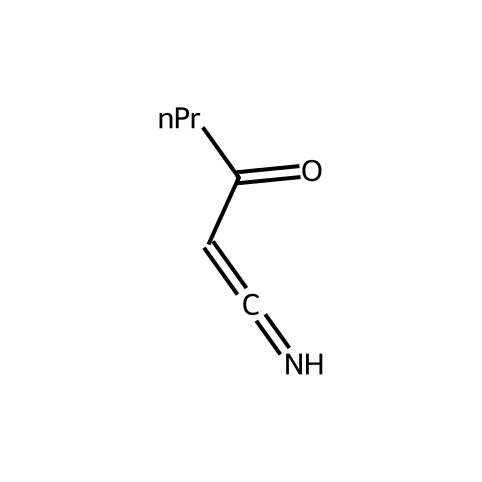 CCCC(=O)C=C=N